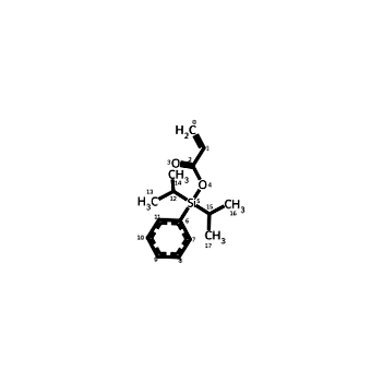 C=CC(=O)O[Si](c1ccccc1)(C(C)C)C(C)C